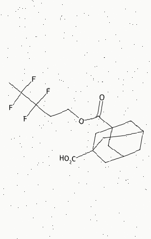 CC(F)(F)C(F)(F)CCOC(=O)C12CC3CC(CC(C(=O)O)(C3)C1)C2